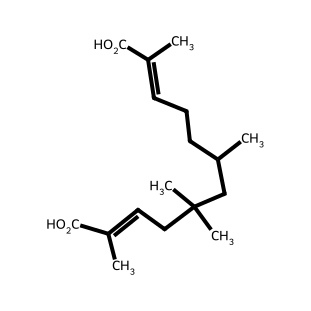 CC(=CCCC(C)CC(C)(C)CC=C(C)C(=O)O)C(=O)O